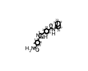 NC(=O)c1ccc(-c2ncc(-c3ccc(C(=O)NC4C5CC6CC(C5)CC4C6)cc3)[nH]2)cc1